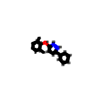 Cc1cccc(C)c1Oc1ccc(-c2ccccc2)nn1